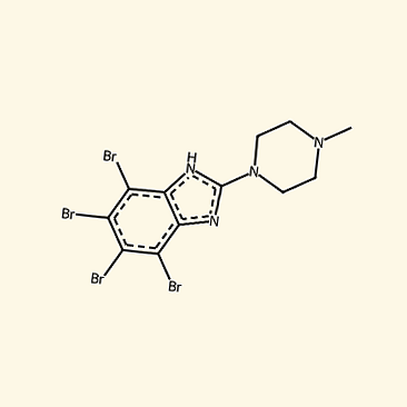 CN1CCN(c2nc3c(Br)c(Br)c(Br)c(Br)c3[nH]2)CC1